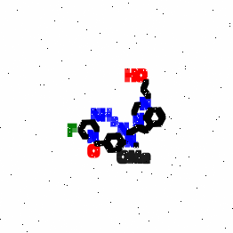 COc1cc(C(=O)N2C[C@H](N)C[C@@H](F)C2)cc2nc(-c3cc4cccc5c4n3CCN5CCCO)n(C)c12